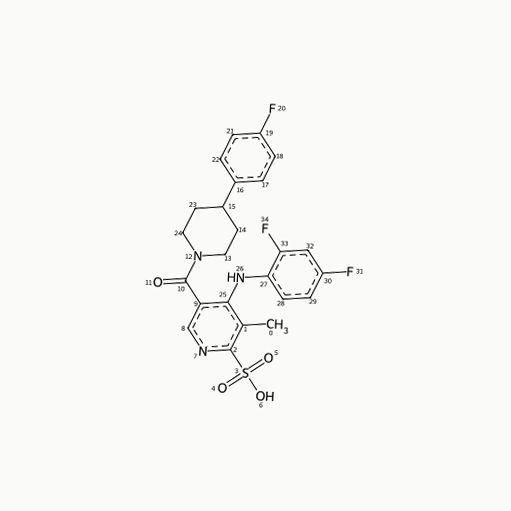 Cc1c(S(=O)(=O)O)ncc(C(=O)N2CCC(c3ccc(F)cc3)CC2)c1Nc1ccc(F)cc1F